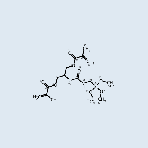 C=C(C)C(=O)OCC(COC(=O)C(=C)C)OC(=O)NC[Si](OC)(OC)OC